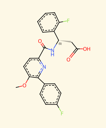 COc1ccc(C(=O)N[C@@H](CC(=O)O)c2ccccc2F)nc1-c1ccc(F)cc1